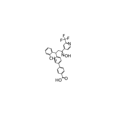 Cc1ccccc1C(CC(=NO)c1ccnc(C(F)(F)F)c1)c1ccc(-c2ccc(C(=O)O)cc2)cc1